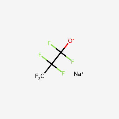 [Na+].[O-]C(F)(F)C(F)(F)C(F)(F)F